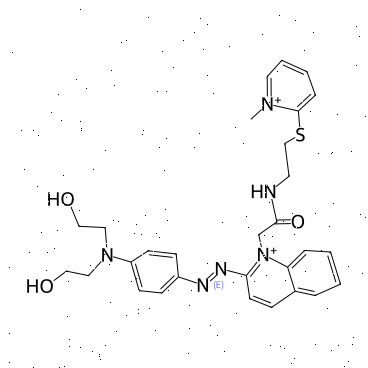 C[n+]1ccccc1SCCNC(=O)C[n+]1c(/N=N/c2ccc(N(CCO)CCO)cc2)ccc2ccccc21